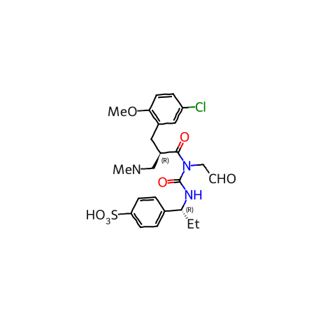 CC[C@@H](NC(=O)N(CC=O)C(=O)[C@@H](CNC)Cc1cc(Cl)ccc1OC)c1ccc(S(=O)(=O)O)cc1